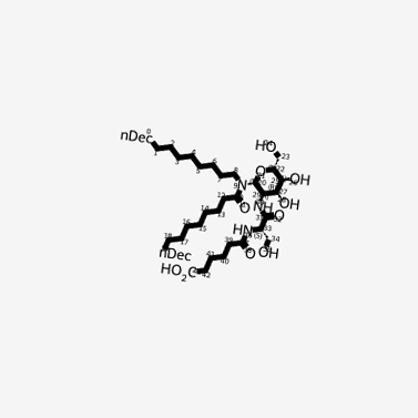 CCCCCCCCCCCCCCCCCCN(C(=O)CCCCCCCCCCCCCCCCC)[C@@H]1O[C@H](CO)[C@@H](O)[C@H](O)[C@H]1NC(=O)[C@H](CO)NC(=O)CCCCC(=O)O